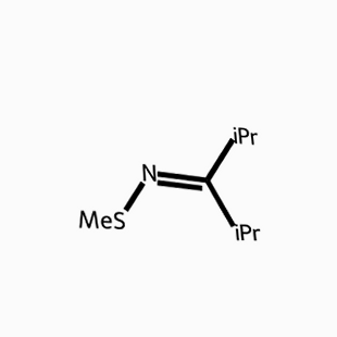 CSN=C(C(C)C)C(C)C